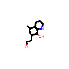 Cc1cc(CC=O)c(O)c2ncccc12